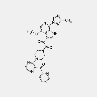 COc1cnc(-n2cnc(C)n2)c2[nH]cc(C(=O)C(=O)N3CCN(c4nccnc4C(=O)c4ccccn4)CC3)c12